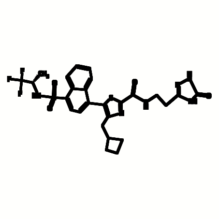 C[C@H](NS(=O)(=O)c1ccc(-c2sc(C(=O)NCCc3n[nH]c(=O)[nH]3)nc2CC2CCC2)c2ccccc12)C(F)(F)F